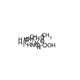 COCOc1cc(O)ccc1-c1cnc(NC2CC(C)(C)NC(C)(C)C2)cn1